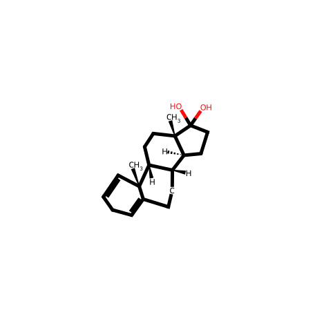 C[C@]12C=CCC=C1CC[C@@H]1[C@H]2CC[C@@]2(C)[C@H]1CCC2(O)O